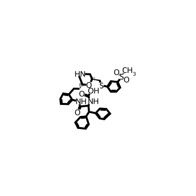 CS(=O)(=O)c1cccc(SC[C@@H]2CNC[C@@H](CCc3ccccc3NC(=O)C(NC(=O)O)C(c3ccccc3)c3ccccc3)O2)c1